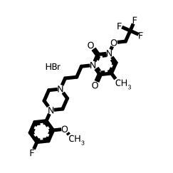 Br.COc1cc(F)ccc1N1CCN(CCCn2c(=O)c(C)cn(OCC(F)(F)F)c2=O)CC1